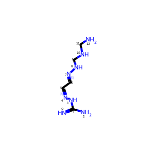 N=C(N)N/N=C\C=N\NCNCN